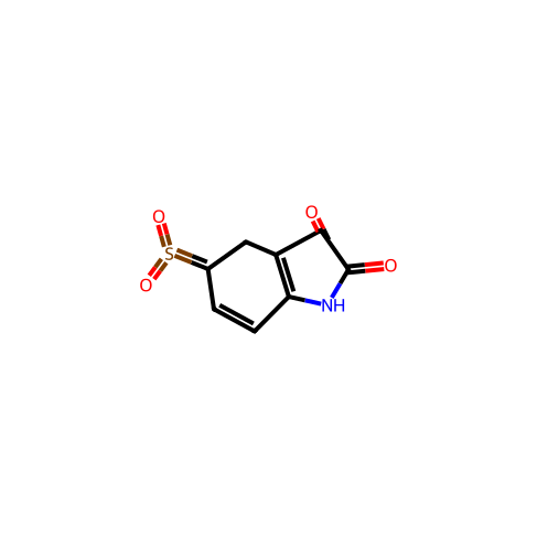 O=C1NC2=C(CC(=S(=O)=O)C=C2)C1=O